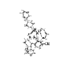 N#Cc1ccc(-c2c(-c3nc(-c4ccccc4)nc(-c4ccc(-c5ccccc5)cc4)n3)ccc3oc4ccccc4c23)cc1